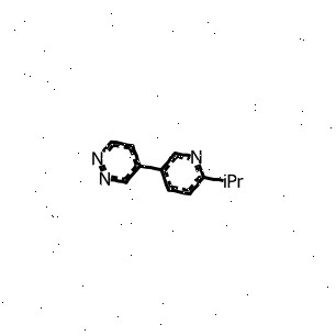 CC(C)c1ccc(-c2ccnnc2)cn1